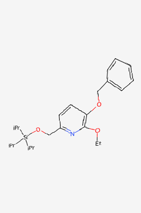 CCOc1nc(CO[Si](C(C)C)(C(C)C)C(C)C)ccc1OCc1ccccc1